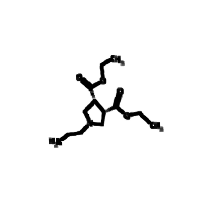 CCOC(=O)[C@H]1CN(CCN)C[C@H]1C(=O)OCC